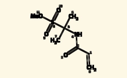 C=CC(=O)NC(C)(C)S(=O)(=O)OC